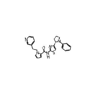 O=C(Nc1nc([C@H]2CCCN2c2ccccc2)cs1)c1cccn1CCc1cccnc1